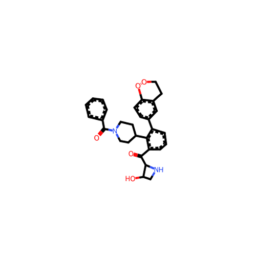 O=C(c1cccc(-c2ccc3c(c2)CCOO3)c1C1CCN(C(=O)c2ccccc2)CC1)C1NCC1O